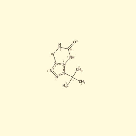 CC(C)(C)c1nnc2n1NC(=O)NC2